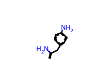 C=C(N)Cc1ccc(N)cc1